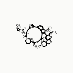 CO[C@@H](C)c1nc2c(cc1-c1c3c4cc(ccc4n1CC(F)(F)F)-c1csc(n1)C[C@H](NC(=O)[C@H]1C[C@@H]1C)C(=O)N1CCC[C@H](N1)C(=O)OCC(C)(C)C3)C1(CCN(C)CC1)CO2